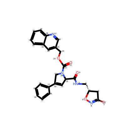 O=C(NC[C@@H]1CC(Br)=NO1)C1C=C(c2ccccc2)CN1C(=O)OCc1cnc2ccccc2c1